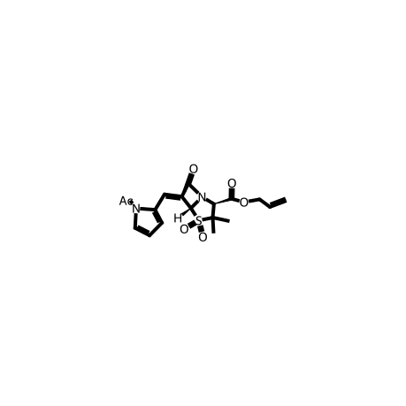 C=CCOC(=O)[C@@H]1N2C(=O)/C(=C/c3cccn3C(C)=O)[C@H]2S(=O)(=O)C1(C)C